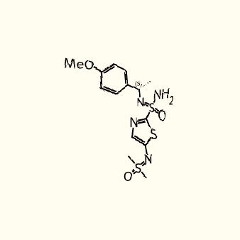 COc1ccc([C@H](C)N=S(N)(=O)c2ncc(N=S(C)(C)=O)s2)cc1